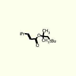 CC(C)C=CC(=O)OC(C)(C)CC(C)(C)C